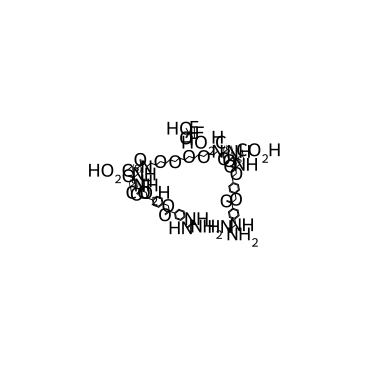 N=C(N)Nc1ccc(C(=O)Oc2ccc(COC(=O)N[C@@H](CC(=O)O)C(=O)N[C@@H](CC(=O)O)C(=O)NCCOCCOCCOCCOCCNC(=O)[C@H](CC(=O)O)NC(=O)[C@H](CC(=O)O)NC(=O)OCc3ccc(OC(=O)c4ccc(NC(=N)N)cc4)cc3)cc2)cc1.O=C(O)C(F)(F)F